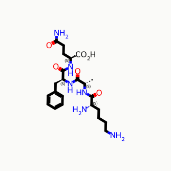 C[C@H](NC(=O)[C@@H](N)CCCCN)C(=O)N[C@@H](Cc1ccccc1)C(=O)N[C@@H](CCC(N)=O)C(=O)O